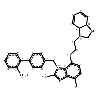 CCCCc1nc2c(C)ccc(OCCN3CNC4C=CC=CC43)c2n1Cc1ccc(-c2ccccc2C(=O)O)cc1